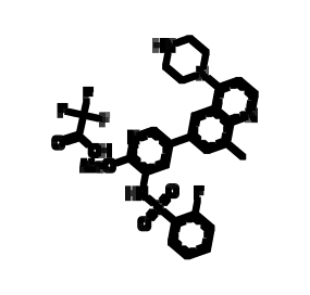 COc1ncc(-c2cc(C)c3nccc(N4CCNCC4)c3c2)cc1NS(=O)(=O)c1ccccc1F.O=C(O)C(F)(F)F